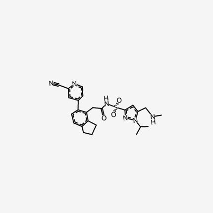 CNCc1cc(S(=O)(=O)NC(=O)Cc2c(-c3ccnc(C#N)c3)ccc3c2CCC3)nn1C(C)C